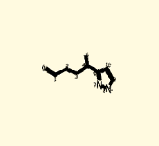 CCCCC(C)C1=N[N]C=C1